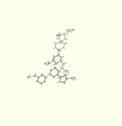 CCOc1cccc(-c2ccc(C(Oc3cc(N4CCC5(CC4)CN[C@H](C(=O)O)C5)nc(N)n3)C(F)(F)F)c(-n3ccc(C)n3)c2)c1